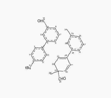 CC(C)(C)c1ccc(-c2cccc(C=O)c2)cc1.Cc1cccc(C2=CCC(C)(C=O)C=C2)c1